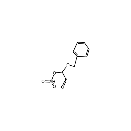 O=PC(OCc1ccccc1)O[SH](=O)=O